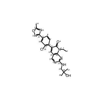 CCn1c(=O)c(-c2ccc(-c3noc(C)n3)cc2Cl)cc2cnc(NCC(C)(C)O)nc21